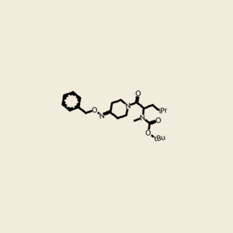 CC(C)CC(C(=O)N1CCC(=NOCc2ccccc2)CC1)N(C)C(=O)OC(C)(C)C